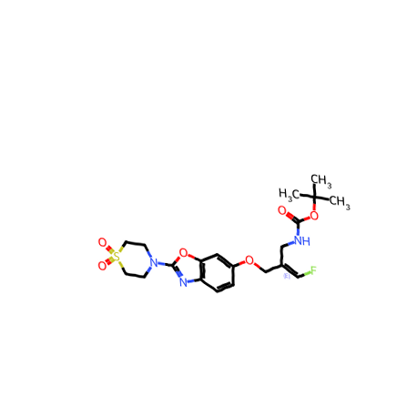 CC(C)(C)OC(=O)NC/C(=C\F)COc1ccc2nc(N3CCS(=O)(=O)CC3)oc2c1